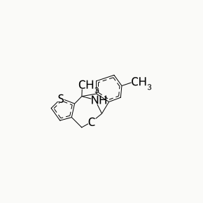 Cc1ccc2c(c1)C1CCc3ccsc3C2(C)N1